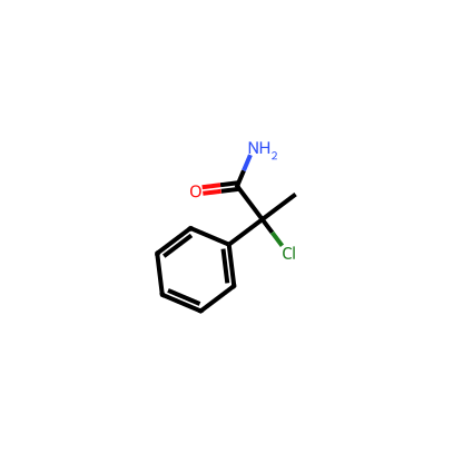 CC(Cl)(C(N)=O)c1ccccc1